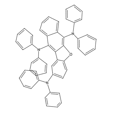 c1ccc(N(c2ccccc2)c2ccc3oc4c(N(c5ccccc5)c5ccccc5)c5ccccc5c(N(c5ccccc5)c5ccccc5)c4c3c2)cc1